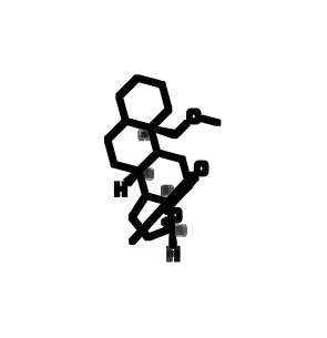 COC[C@]12CCCCC1CC[C@@H]1C2CC[C@]23C(=O)OC[C@H]2CCC13